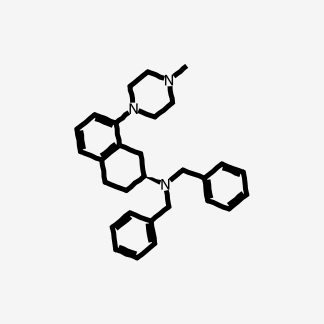 CN1CCN(c2cccc3c2C[C@@H](N(Cc2ccccc2)Cc2ccccc2)CC3)CC1